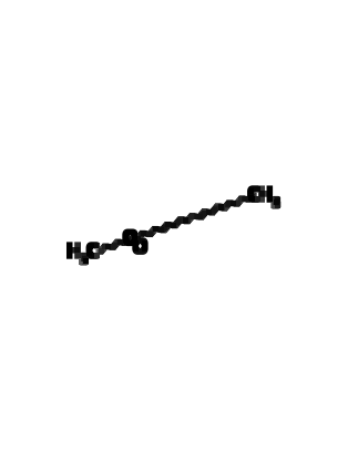 CCCCCC=CCC=CCC=CCC=CCCCC(=O)OCCCCCC